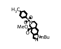 CCCCn1ncc2c1C=C1CCN(S(=O)(=O)c3ccc(C)cc3)CC1(C(=O)OC)C2